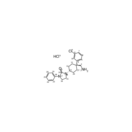 Cl.NC[C@]1(c2cccc(Cl)c2)CC[C@@H](N2CCN(c3ccccc3)C2=O)CC1